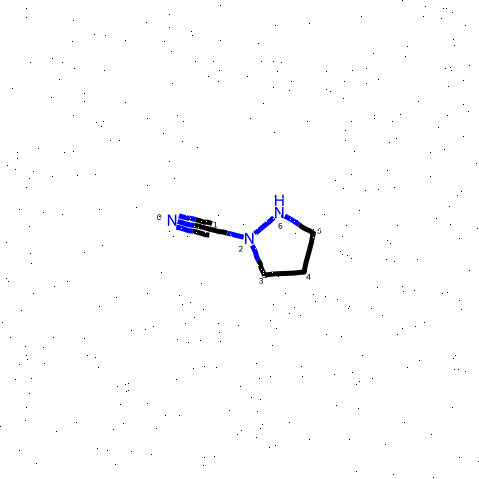 N#CN1CCCN1